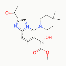 COC(=O)[C@@H](O)c1c(C)cc2nc(C(C)=O)cn2c1N1CCC(C)(C)CC1